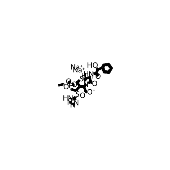 CCOP(=O)([O-])CC(Sc1nnn[nH]1)C1=C(C(=O)[O-])N2C(=O)[C@@H](NC(=O)C(O)c3ccccc3)[C@@H]2SC1.[Na+].[Na+]